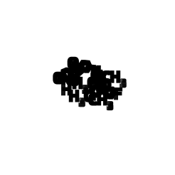 CC1CN(Cc2ccc3c(c2)CN(C2CCC(=O)NC2=O)C3=O)CC(C)N1C(=O)C1=C(c2ccc(F)cc2)CC(C)(C)CC1